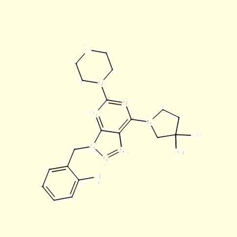 CC1(O)CCN(c2nc(N3CCOCC3)nc3c2nnn3Cc2ccccc2Cl)C1